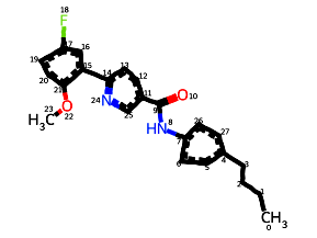 CCCCc1ccc(NC(=O)c2ccc(-c3cc(F)ccc3OC)nc2)cc1